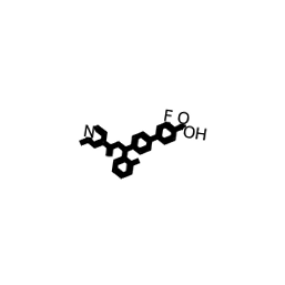 C=C(CC(c1ccc(-c2ccc(C(=O)O)c(F)c2)cc1)c1ccccc1C)c1ccnc(C)c1